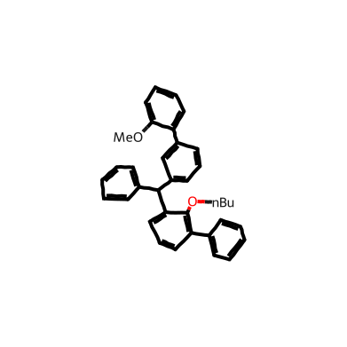 CCCCOc1c(-c2ccccc2)cccc1C(c1ccccc1)c1cccc(-c2ccccc2OC)c1